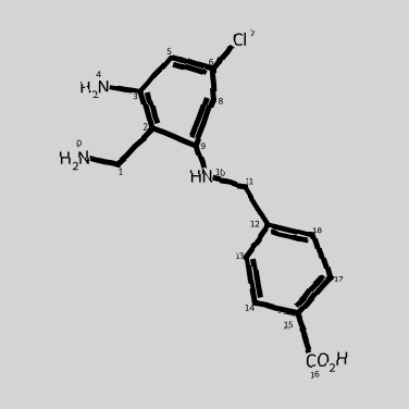 NCc1c(N)cc(Cl)cc1NCc1ccc(C(=O)O)cc1